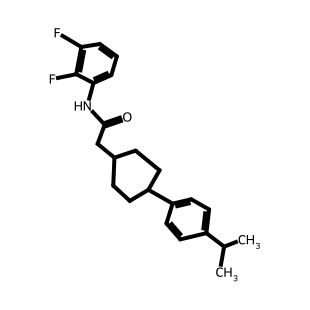 CC(C)c1ccc(C2CCC(CC(=O)Nc3cccc(F)c3F)CC2)cc1